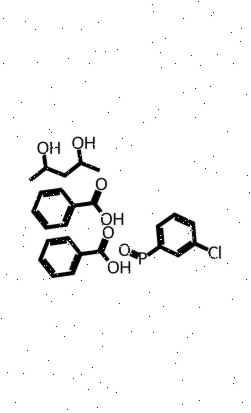 CC(O)CC(C)O.O=C(O)c1ccccc1.O=C(O)c1ccccc1.O=Pc1cccc(Cl)c1